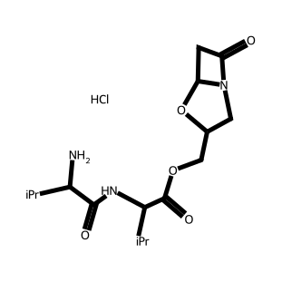 CC(C)C(N)C(=O)NC(C(=O)OCC1CN2C(=O)CC2O1)C(C)C.Cl